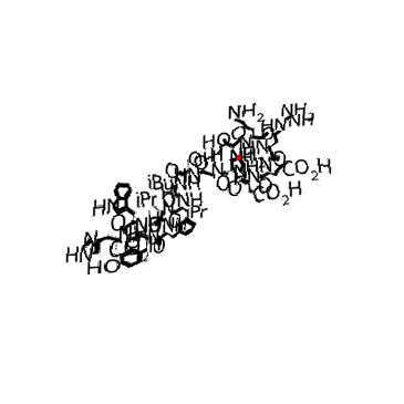 CC[C@H](C)[C@H](NC(=O)[C@H](CO)NC(=O)CNC(=O)[C@@H]1CCCN1C(=O)[C@H](CC(=O)O)NC(=O)[C@H](CCC(=O)O)NC(=O)[C@H](CCCNC(=N)N)NC(=O)[C@H](CCCCN)NC(=O)[C@@H](N)[C@@H](C)O)C(=O)N[C@H](C(=O)N[C@@H](CC(C)C)C(=O)N[C@@H](Cc1ccccc1)C(=O)N[C@@H](Cc1ccc(O)cc1)C(=O)N[C@@H](Cc1c[nH]c2ccccc12)C(=O)N[C@@H](Cc1c[nH]cn1)C(=O)O)C(C)C